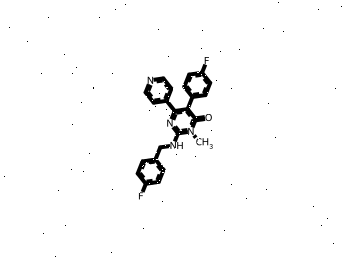 Cn1c(NCc2ccc(F)cc2)nc(-c2ccncc2)c(-c2ccc(F)cc2)c1=O